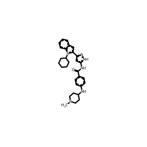 CN1CCC(Nc2ccc(C(=O)Nc3cc(-c4cc5ccccc5n4C4CCCCC4)n[nH]3)cc2)CC1